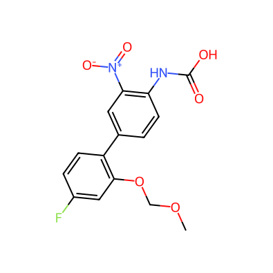 COCOc1cc(F)ccc1-c1ccc(NC(=O)O)c([N+](=O)[O-])c1